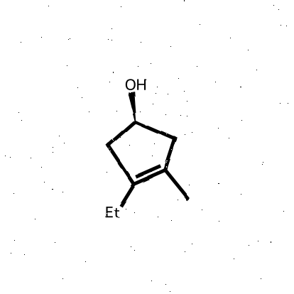 CCC1=C(C)C[C@H](O)C1